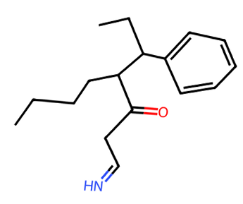 CCCCC(C(=O)CC=N)C(CC)c1ccccc1